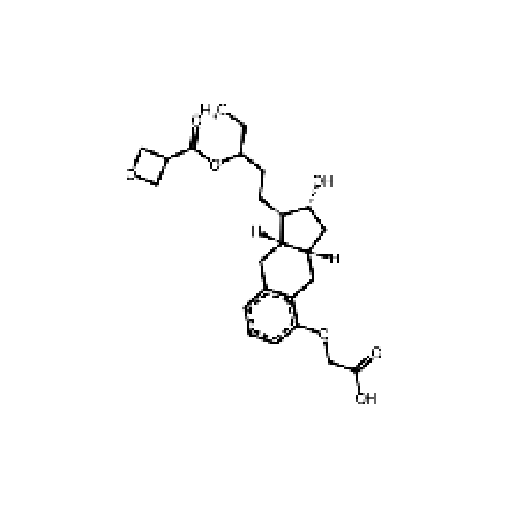 CC[C@@H](CC[C@@H]1[C@H]2Cc3cccc(OCC(=O)O)c3C[C@H]2C[C@H]1O)OC(=O)C1COC1